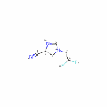 N#CC1[C]N(CC(F)F)[C]=N1